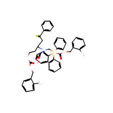 C[C@@H](OC(=O)OCc1ccccc1[N+](=O)[O-])[C@H]1C(=O)N(CP(C(=O)OCc2ccccc2[N+](=O)[O-])(c2ccccc2)(c2ccccc2)c2ccccc2)[C@]1(C)CC(=S)c1ccccc1